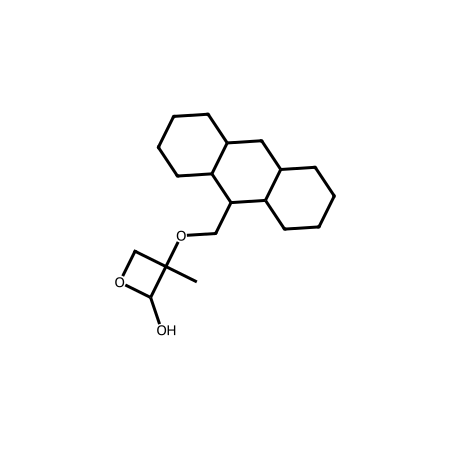 CC1(OCC2C3CCCCC3CC3CCCCC32)COC1O